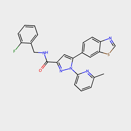 Cc1cccc(-n2nc(C(=O)NCc3ccccc3F)cc2-c2ccc3ncsc3c2)n1